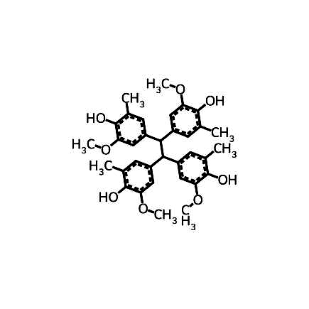 COc1cc(C(c2cc(C)c(O)c(OC)c2)C(c2cc(C)c(O)c(OC)c2)c2cc(C)c(O)c(OC)c2)cc(C)c1O